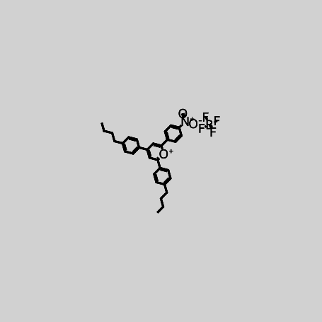 CCCCc1ccc(-c2cc(-c3ccc(CCCC)cc3)[o+]c(-c3ccc([N+](=O)[O-])cc3)c2)cc1.F[B-](F)(F)F